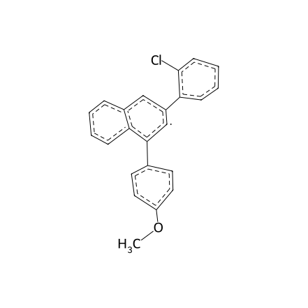 COc1ccc(-c2[c]c(-c3ccccc3Cl)cc3ccccc23)cc1